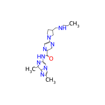 CCCNCC1CCN(c2cnc(C(=O)Nc3cn4cc(C)nc4c(C)n3)cn2)C1